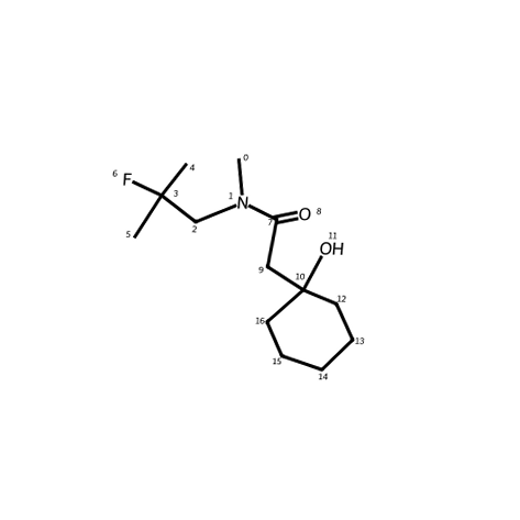 CN(CC(C)(C)F)C(=O)CC1(O)CCCCC1